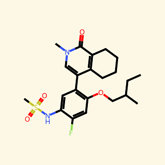 CCC(C)COc1cc(F)c(NS(C)(=O)=O)cc1-c1cn(C)c(=O)c2c1CCCC2